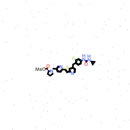 COC(=O)[C@@H]1CCCN1Cc1ccc(-c2cc3nccc(Cc4ccc(NC(=O)NC5CC5)cc4F)c3s2)nc1